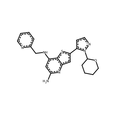 Nc1cc(NCc2ccccn2)c2sc(-c3ccnn3C3CCCCO3)cc2n1